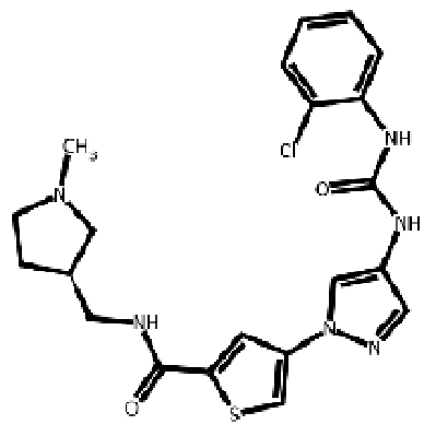 CN1CC[C@H](CNC(=O)c2cc(-n3cc(NC(=O)Nc4ccccc4Cl)cn3)cs2)C1